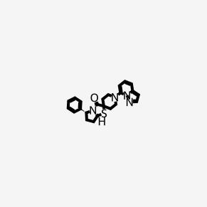 O=C1N2[C@H](CC[C@@H]2c2ccccc2)SC12CCN(c1cccc3ccnn13)CC2